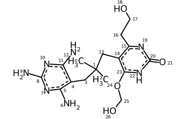 CC(C)(Cc1c(N)nc(N)nc1N)Cc1c(CCO)nc(=O)[nH]c1OCO